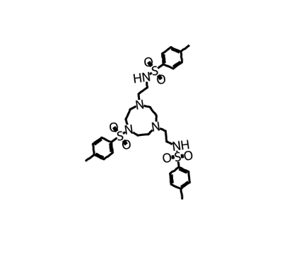 Cc1ccc(S(=O)(=O)NCCN2CCN(CCNS(=O)(=O)c3ccc(C)cc3)CCN(S(=O)(=O)c3ccc(C)cc3)CC2)cc1